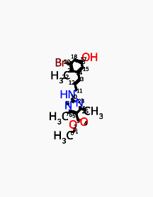 CCOC(=O)c1c(C)nc(NCC=Cc2cc(O)cc(Br)c2C)nc1C